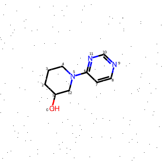 OC1CCCN(c2ccn[c]n2)C1